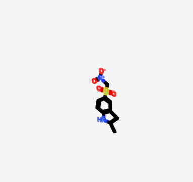 CC1Cc2cc(S(=O)(=O)C[N+](=O)[O-])ccc2N1